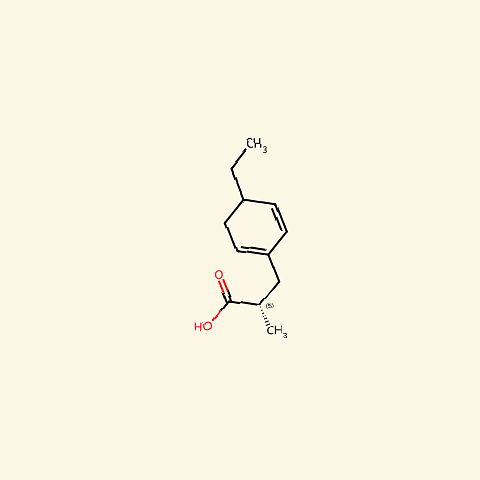 CCC1C=CC(C[C@H](C)C(=O)O)=CC1